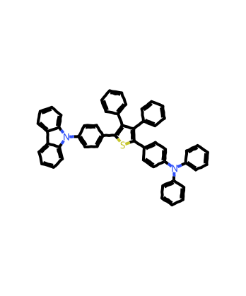 c1ccc(-c2c(-c3ccc(N(c4ccccc4)c4ccccc4)cc3)sc(-c3ccc(-n4c5ccccc5c5ccccc54)cc3)c2-c2ccccc2)cc1